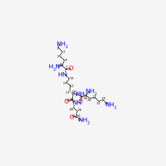 NCCCC[C@H](N)C(=O)NCCCC[C@H](NC(=O)[C@@H](N)CCCCN)C(=O)NCCC(N)=O